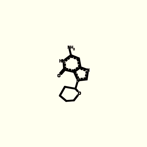 Nc1cc2ncn(C3CCCCO3)c2c(=O)[nH]1